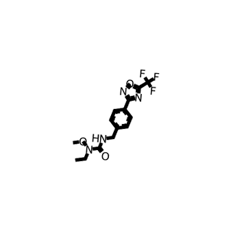 CCN(OC)C(=O)NCc1ccc(-c2noc(C(F)(F)F)n2)cc1